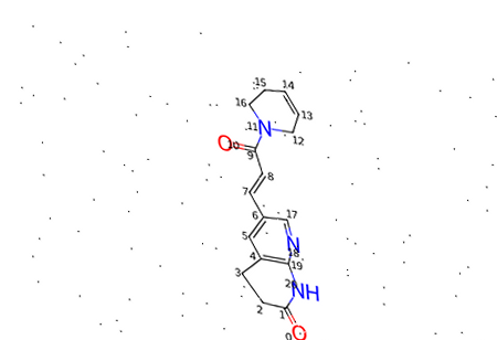 O=C1CCc2cc(/C=C/C(=O)N3CC=CCC3)cnc2N1